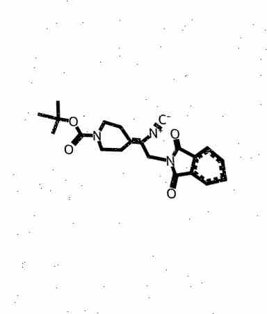 [C-]#[N+]C(CN1C(=O)c2ccccc2C1=O)=C1CCN(C(=O)OC(C)(C)C)CC1